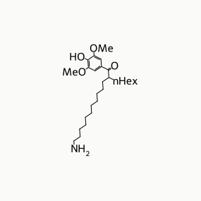 CCCCCCC(CCCCCCCCCCCN)C(=O)c1cc(OC)c(O)c(OC)c1